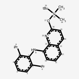 CC(C)c1cccc(C(C)C)c1Nc1cccc2ccc(O[Si](C)(C)C(C)(C)C)nc12